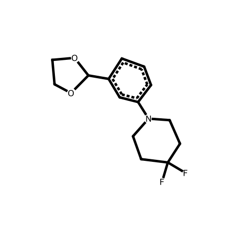 FC1(F)CCN(c2cccc(C3OCCO3)c2)CC1